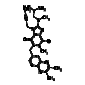 CC#CCn1c(N(C)CC(C)N)nc2c(=O)n(C)n(Cc3ccc4nc(C)c(C)nc4c3)c(=O)c21